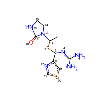 CC(SC(N=C(N)N)c1cscn1)N1CCNC1=O